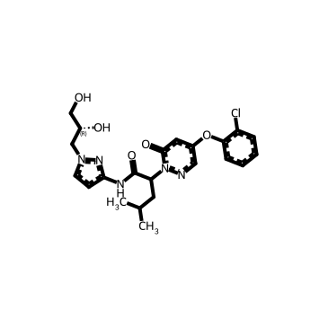 CC(C)CC(C(=O)Nc1ccn(C[C@@H](O)CO)n1)n1ncc(Oc2ccccc2Cl)cc1=O